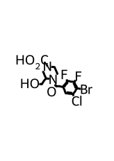 O=C(O)N1CCN(C(=O)c2cc(Cl)c(Br)c(F)c2F)C(CO)C1